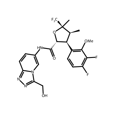 COc1c([C@H]2[C@H](C(=O)Nc3ccc4nnc(CO)n4c3)O[C@@](C)(C(F)(F)F)[C@H]2C)ccc(F)c1F